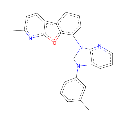 Cc1cccc(N2CN(c3cccc4c3oc3nc(C)ccc34)c3ncccc32)c1